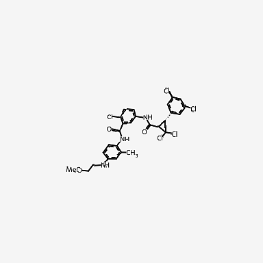 COCCNc1ccc(NC(=O)c2cc(NC(=O)C3[C@H](c4cc(Cl)cc(Cl)c4)C3(Cl)Cl)ccc2Cl)c(C)c1